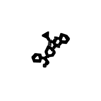 O=CC(c1ccccc1)N1CCN(c2nc3ccccc3nc2NC2CC2)CC1